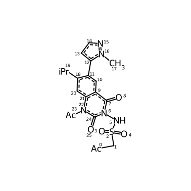 CC(=O)CS(=O)(=O)Nn1c(=O)c2cc(-c3ccnn3C)c(C(C)C)cc2n(C(C)=O)c1=O